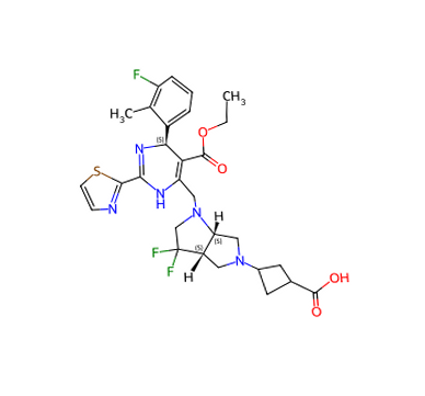 CCOC(=O)C1=C(CN2CC(F)(F)[C@H]3CN(C4CC(C(=O)O)C4)C[C@H]32)NC(c2nccs2)=N[C@H]1c1cccc(F)c1C